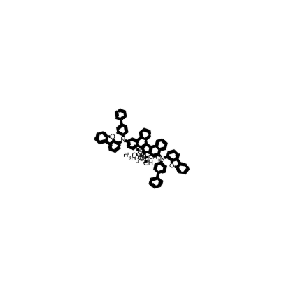 C[Si](C)(C)C1([Si](C)(C)C)c2cc(N(c3ccc(-c4ccccc4)cc3)c3cccc4c3oc3ccccc34)c3ccccc3c2-c2c1c1ccc(N(c3ccc(-c4ccccc4)cc3)c3cccc4c3oc3ccccc34)cc1c1ccccc21